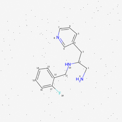 NCC(Cc1cccnc1)NCc1ccccc1F